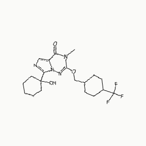 Cn1c(OCC2CCC(C(F)(F)F)CC2)nn2c(C3(O)CCCCC3)ncc2c1=O